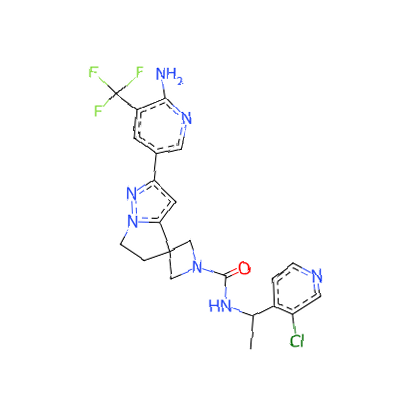 CC(NC(=O)N1CC2(CCn3nc(-c4cnc(N)c(C(F)(F)F)c4)cc32)C1)c1ccncc1Cl